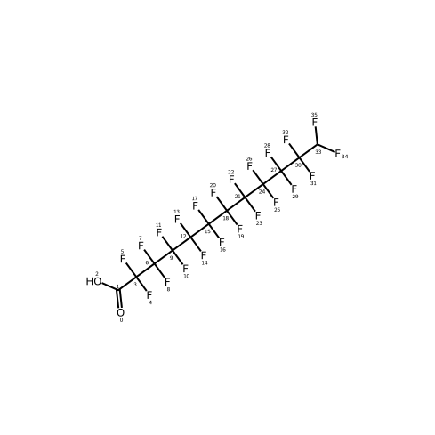 O=C(O)C(F)(F)C(F)(F)C(F)(F)C(F)(F)C(F)(F)C(F)(F)C(F)(F)C(F)(F)C(F)(F)C(F)(F)C(F)F